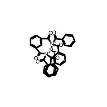 CCN1[N+](C(=O)c2ccccc2)(C(=O)c2ccccc2)C(=O)c2cccc(c2)C(=O)[N+]1(C(=O)c1ccccc1)C(=O)c1ccccc1